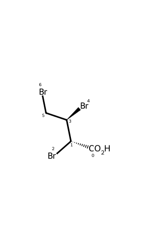 O=C(O)[C@H](Br)[C@H](Br)CBr